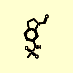 CS(=O)(=O)Nc1ccc2c(c1)N(C=O)CC2